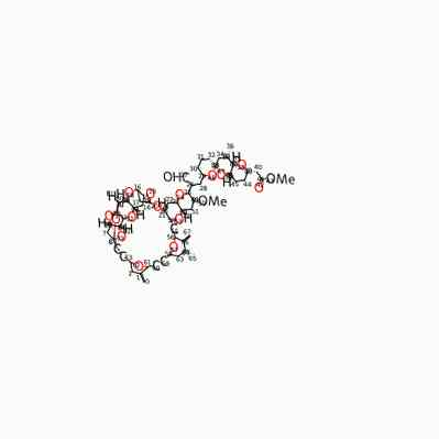 C=C1CC2CC[C@@]34C[C@H]5OC6C(O[C@H]7CCC(CC(=O)O[C@@H]8CC9OC(C(C=O)CC%10CCC[C@@]%11(C[C@H](C)[C@@H]%12O[C@H](CC(=O)OC)CC[C@@H]%12O%11)O%10)[C@H](OC)C[C@@H]9OC8CC8OC(CCC1O2)C[C@@H](C)C8=C)O[C@@H]7[C@@H]6O3)[C@@H]5O4